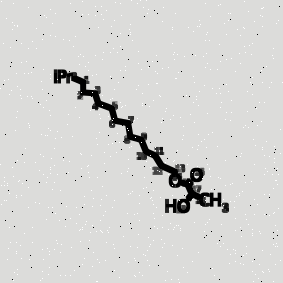 CC(C)CCCCCCCCCCCCCOC(=O)C(C)O